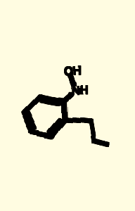 CCCc1ccccc1NO